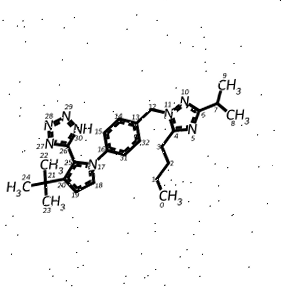 CCCCc1nc(C(C)C)nn1Cc1ccc(-n2ccc(C(C)(C)C)c2-c2nnn[nH]2)cc1